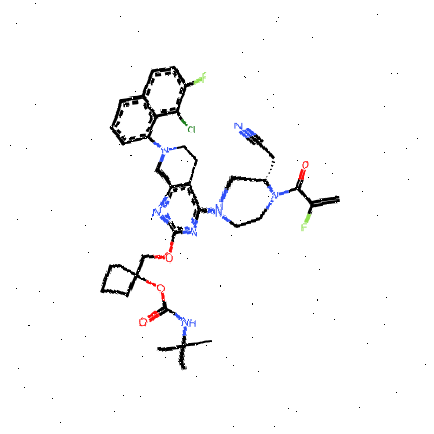 C=C(F)C(=O)N1CCN(c2nc(OCC3(OC(=O)NC(C)(C)C)CCC3)nc3c2CCN(c2cccc4ccc(F)c(Cl)c24)C3)C[C@@H]1CC#N